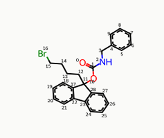 O=C(NCc1ccccc1)OC1(CCCCBr)c2ccccc2-c2ccccc21